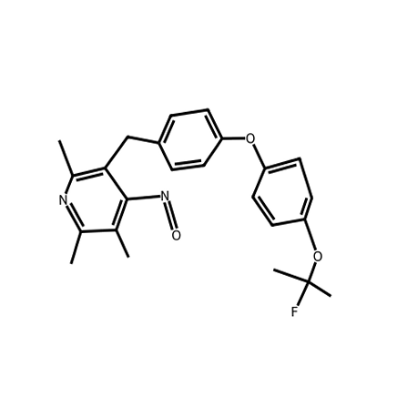 Cc1nc(C)c(Cc2ccc(Oc3ccc(OC(C)(C)F)cc3)cc2)c(N=O)c1C